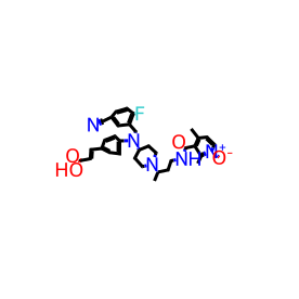 Cc1cc[n+]([O-])c(C)c1C(=O)NCCC(C)N1CCC(N(Cc2cc(C#N)ccc2F)c2ccc(/C=C/C(=O)O)cc2)CC1